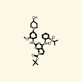 COc1cc(N2CCC(O)CC2)ccc1Nc1nc(Nc2ccccc2S(=O)(=O)C(C)C)c2ccn(C(=O)OC(C)(C)C)c2n1